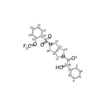 O=C([C@H](O)c1ccccc1)N1CC2=C(C1)CN(S(=O)(=O)c1ccccc1OC(F)(F)F)C2